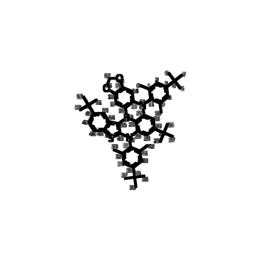 Cc1cc(C(C)(C)C)cc(C)c1N1c2cc3c(cc2B2c4c1cc(C(C)(C)C)cc4N(c1c(C)cc(C(C)(C)C)cc1C)c1sc4ccc(C(C)(C)C)cc4c12)OCO3